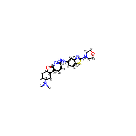 CN(C)[C@H]1CCc2oc3nc(Nc4ccc5sc(N6CCOCC6)nc5c4)ccc3c2C1